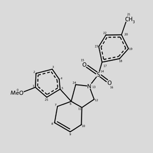 COc1cccc(C23CC=CCC2CN(S(=O)(=O)c2ccc(C)cc2)C3)c1